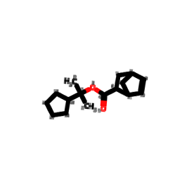 CC(C)(OC(=O)C1CC2C=CC1C2)C1CCCC1